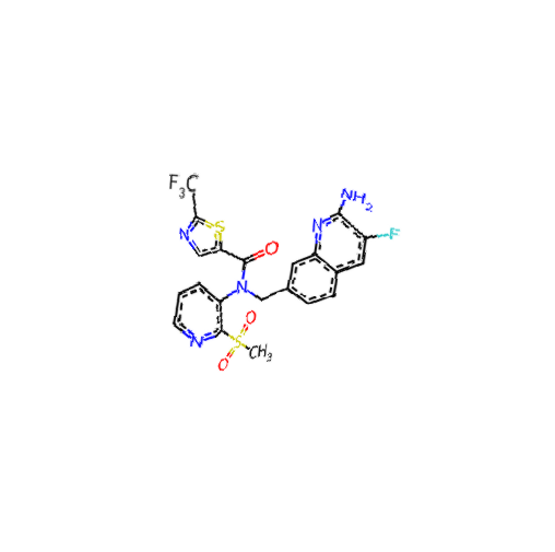 CS(=O)(=O)c1ncccc1N(Cc1ccc2cc(F)c(N)nc2c1)C(=O)c1cnc(C(F)(F)F)s1